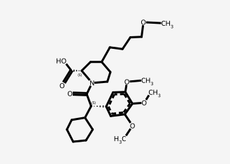 COCCCCC1CCN(C(=O)[C@H](c2cc(OC)c(OC)c(OC)c2)C2CCCCC2)[C@H](C(=O)O)C1